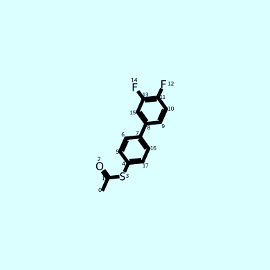 CC(=O)Sc1ccc(-c2ccc(F)c(F)c2)cc1